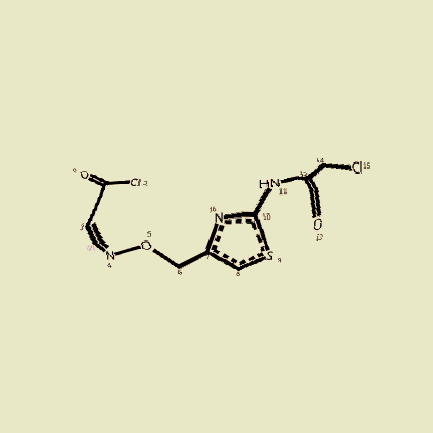 O=C(Cl)/C=N\OCc1csc(NC(=O)CCl)n1